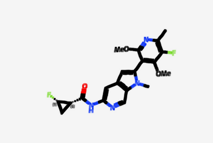 COc1nc(C)c(F)c(OC)c1-c1cc2cc(NC(=O)[C@@H]3C[C@@H]3F)ncc2n1C